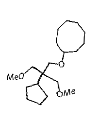 COCC(COC)(COC1CCCCCCC1)C1CCCC1